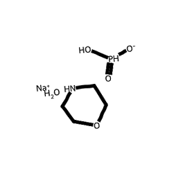 C1COCCN1.O.O=[PH]([O-])O.[Na+]